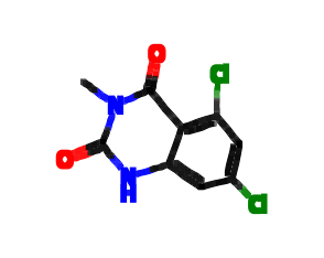 Cn1c(=O)[nH]c2cc(Cl)cc(Cl)c2c1=O